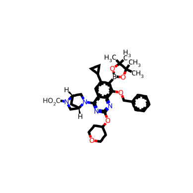 CC1(C)OB(c2c(C3CC3)cc3c(N4C[C@@H]5C[C@H]4CN5C(=O)O)nc(OC4CCOCC4)nc3c2OCc2ccccc2)OC1(C)C